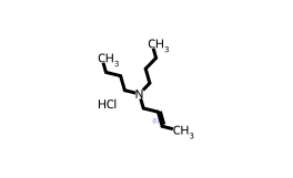 C/C=C/CN(CCCC)CCCC.Cl